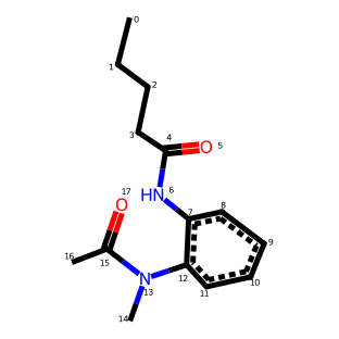 CCCCC(=O)Nc1ccccc1N(C)C(C)=O